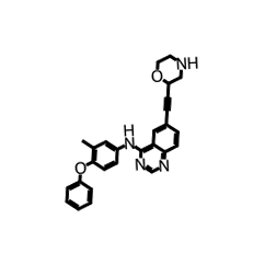 Cc1cc(Nc2ncnc3ccc(C#CC4CNCCO4)cc23)ccc1Oc1ccccc1